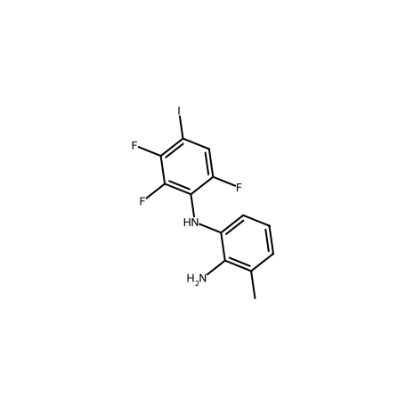 Cc1cccc(Nc2c(F)cc(I)c(F)c2F)c1N